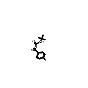 CC(C)(C)NC(=O)N1OC1c1ccc(I)cc1